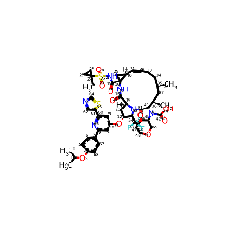 CC(C)Oc1ccc(-c2cc(O[C@@H]3C[C@H]4C(=O)N[C@]5(C(=O)NS(=O)(=O)C6(C)CC6)C[C@H]5/C=C\CC[C@@H](C)C[C@@H](C)[C@H](N(C(=O)O)C5CCCOC5)C(=O)N4C3C(F)(F)F)cc(-c3cncs3)n2)cc1